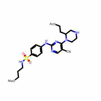 COCCCNS(=O)(=O)c1ccc(Nc2ncc(C#N)c(N3CCNCC3CCOC(C)=O)n2)cc1